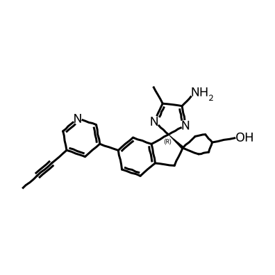 CC#Cc1cncc(-c2ccc3c(c2)[C@@]2(N=C(C)C(N)=N2)C2(CCC(O)CC2)C3)c1